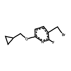 Fc1nc(OCC2CC2)ccc1CBr